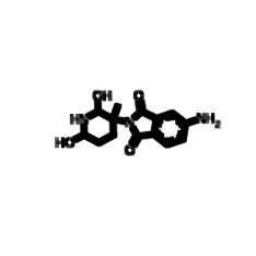 CC1(N2C(=O)c3ccc(N)cc3C2=O)CCC(O)NC1O